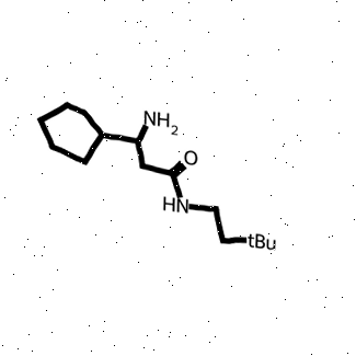 CC(C)(C)CCNC(=O)CC(N)C1CCCCC1